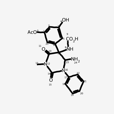 CC(=O)Oc1cc(O)cc(C2(NC(=O)O)C(=O)N(C)C(=O)N(c3ccccc3)C2N)c1